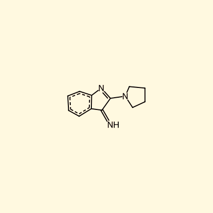 N=C1C(N2CCCC2)=Nc2ccccc21